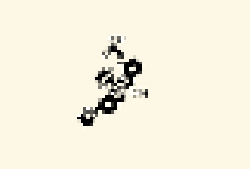 Cl.O=C(O)COc1cccc(CN(Cc2ccc(-n3cccn3)cc2)S(=O)(=O)c2nccs2)c1